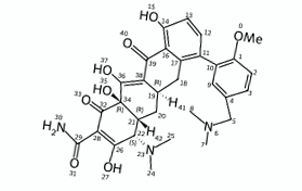 COc1ccc(CN(C)C)cc1-c1ccc(O)c2c1C[C@H]1C[C@@H]3[C@H](N(C)C)C(O)=C(C(N)=O)C(=O)[C@]3(O)C(O)=C1C2=O